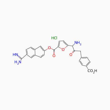 Cl.N=C(N)c1ccc2cc(OC(=O)c3ccc(C(N)C(=O)Cc4ccc(C(=O)O)cc4)o3)ccc2c1